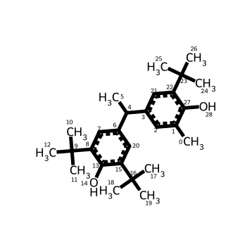 Cc1cc(C(C)c2cc(C(C)(C)C)c(O)c(C(C)(C)C)c2)cc(C(C)(C)C)c1O